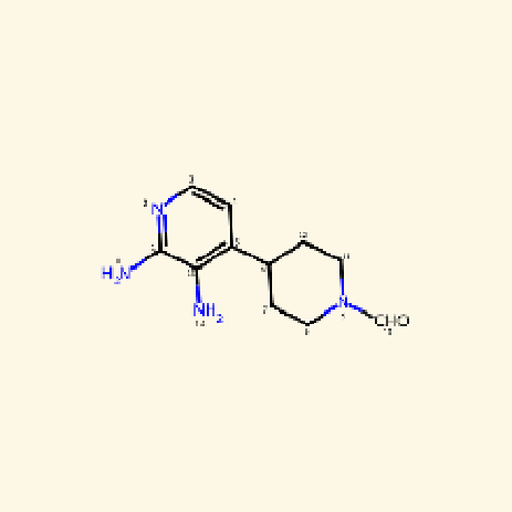 Nc1nccc(C2CCN(C=O)CC2)c1N